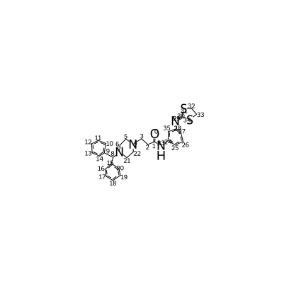 O=C(CCN1CCN(C(c2ccccc2)c2ccccc2)CC1)Nc1cccc(N=C2SCCS2)c1